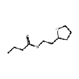 CCCC(=O)OCCC1CCCO1